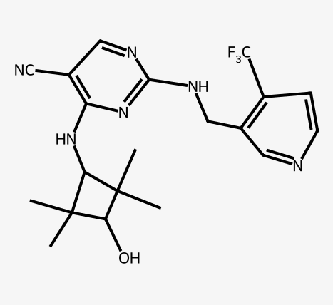 CC1(C)C(O)C(C)(C)C1Nc1nc(NCc2cnccc2C(F)(F)F)ncc1C#N